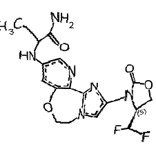 CC(Nc1cnc2c(c1)OCCn1cc(N3C(=O)OC[C@H]3C(F)F)nc1-2)C(N)=O